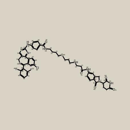 O=C1CCC(N2Cc3cc(NC(=O)CCNCCCOCCCCNC(=O)c4ccc(Nc5ncc6c(n5)-c5ccc(Cl)cc5C(c5c(F)cccc5F)=NC6)cc4)ccc3C2=O)C(=O)N1